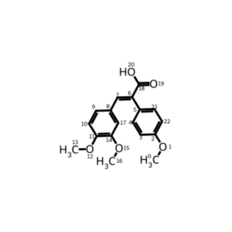 COc1ccc(/C(=C\c2ccc(OC)c(OC)c2)C(=O)O)cc1